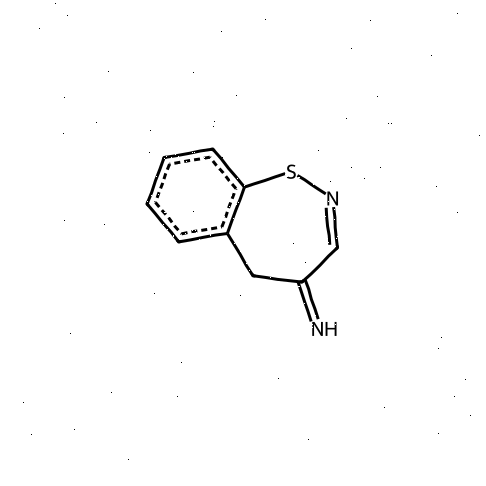 N=C1C=NSc2ccccc2C1